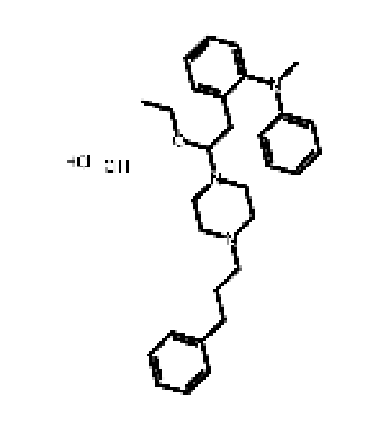 CCOC(Cc1ccccc1N(C)c1ccccc1)N1CCN(CCCc2ccccc2)CC1.Cl.Cl